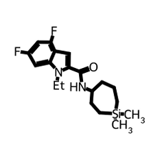 CCn1c(C(=O)NC2CCC[Si](C)(C)CC2)cc2c(F)cc(F)cc21